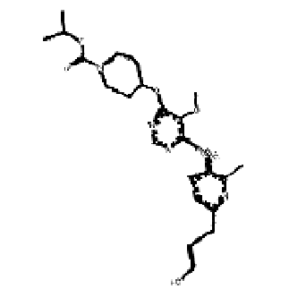 COc1c(Nc2ccc(CCCO)nc2C)ncnc1OC1CCN(C(=O)OC(C)C)CC1